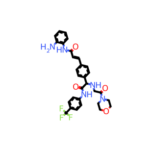 Nc1ccccc1NC(=O)/C=C/c1ccc(C(NCC(=O)N2CCOCC2)C(=O)Nc2ccc(C(F)(F)F)cc2)cc1